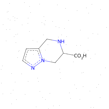 O=C(O)C1Cn2nccc2CN1